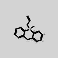 C=CC[N+]1(C)c2ccccc2Cc2ccccc21